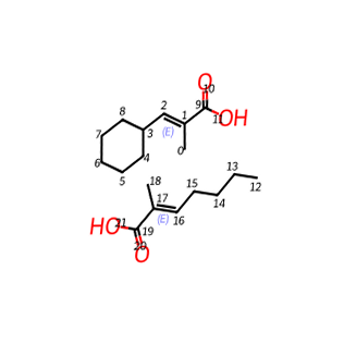 C/C(=C\C1CCCCC1)C(=O)O.CCCC/C=C(\C)C(=O)O